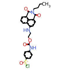 CCCCN1C(=O)c2cccc3c(NCCOC(=O)Nc4ccc([S+]([O-])Cl)cc4)ccc(c23)C1=O